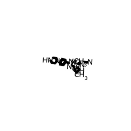 C[C@H]1C[C@@H](C(=O)NCC#N)N(c2nc(-c3ccc(N4CCNCC4)cc3)nn2C)C1